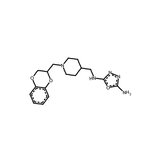 Nc1nnc(NCC2CCN(CC3COc4ccccc4O3)CC2)o1